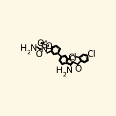 CS(=O)(=O)N(Cc1cccc(-c2ccc3c(N)c(C(=O)c4ccc(Cl)cc4Cl)oc3c2)c1)C(=O)CN